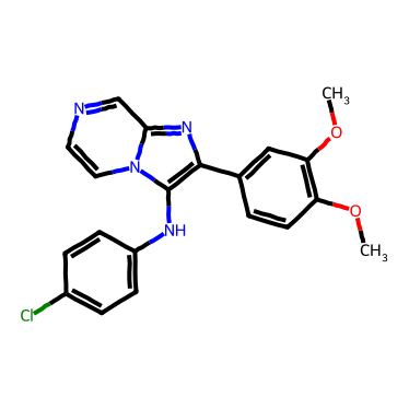 COc1ccc(-c2nc3cnccn3c2Nc2ccc(Cl)cc2)cc1OC